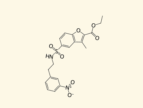 CCOC(=O)c1oc2ccc(S(=O)(=O)NCCc3cccc([N+](=O)[O-])c3)cc2c1C